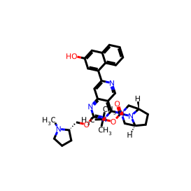 CN1CCC[C@H]1COc1nc(N2C[C@@H]3CC[C@@H](C2)N3C(=O)OC(C)(C)C)c2cnc(-c3cc(O)cc4ccccc34)cc2n1